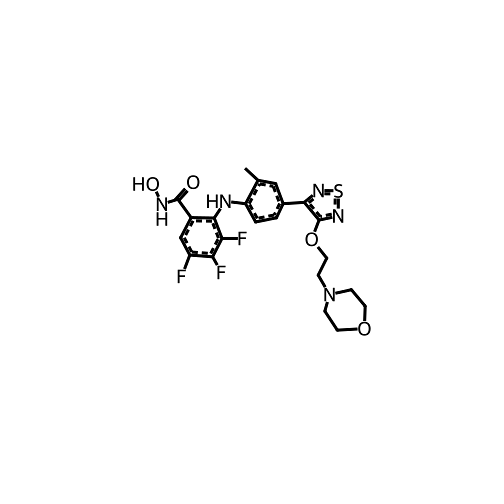 Cc1cc(-c2nsnc2OCCN2CCOCC2)ccc1Nc1c(C(=O)NO)cc(F)c(F)c1F